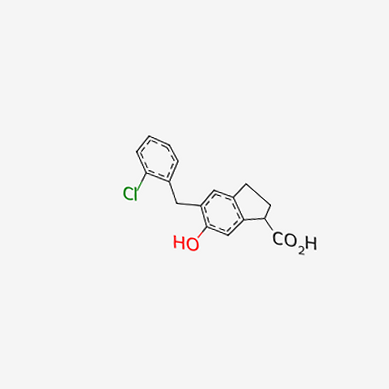 O=C(O)C1CCc2cc(Cc3ccccc3Cl)c(O)cc21